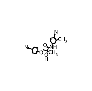 Cc1cc(NC(=O)C(C)(O)COc2ccc(C#N)cc2)ccc1C#N